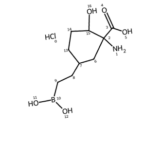 Cl.NC1(C(=O)O)CC(CCB(O)O)CCC1O